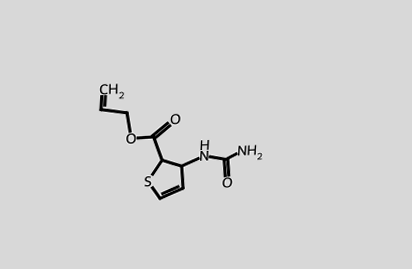 C=CCOC(=O)C1SC=CC1NC(N)=O